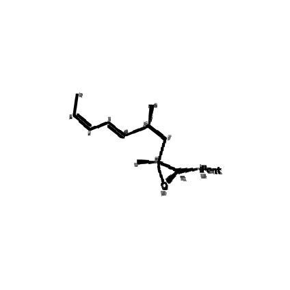 C/C=C\C=C\[C@@H](C)C[C@@]1(C)O[C@@H]1[C@H](C)CCC